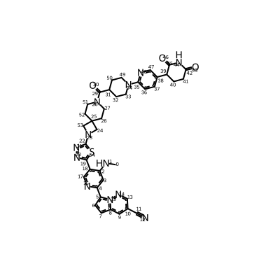 CNc1cc(-c2ccc3cc(C#N)cnn23)ncc1-c1nnc(N2CC3(CCN(C(=O)C4CCN(c5ccc(C6CCC(=O)NC6=O)cn5)CC4)CC3)C2)s1